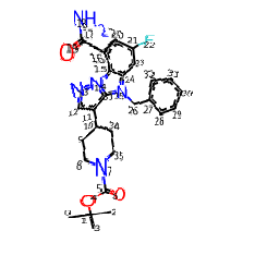 CC(C)(C)OC(=O)N1CCC(c2cnn3c4c(C(N)=O)cc(F)cc4n(Cc4ccccc4)c23)CC1